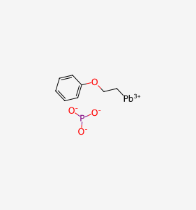 [O-]P([O-])[O-].[Pb+3][CH2]COc1ccccc1